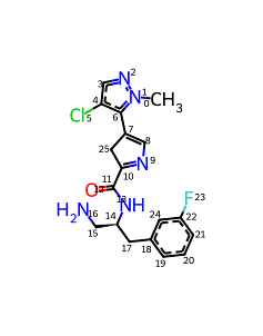 Cn1ncc(Cl)c1C1=CN=C(C(=O)N[C@H](CN)Cc2cccc(F)c2)C1